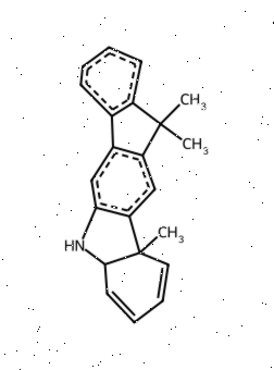 CC1(C)c2ccccc2-c2cc3c(cc21)C1(C)C=CC=CC1N3